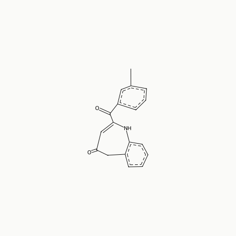 Cc1cccc(C(=O)C2=CC(=O)Cc3ccccc3N2)c1